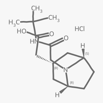 CC(C)(C)NC(=O)CN1[C@@H]2CC[C@H]1C[C@@H](CC(=O)O)C2.Cl